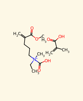 C=C(C)C(=O)O.C=C(CCC[N+](C)(CC)C(=O)O)C(=O)OC